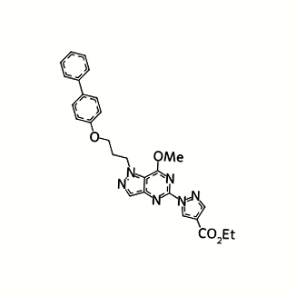 CCOC(=O)c1cnn(-c2nc(OC)c3c(cnn3CCCOc3ccc(-c4ccccc4)cc3)n2)c1